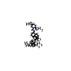 C=C1CC[C@H](O)C/C1=C/C=C1CCC[C@@]2(C)C1CC[C@@H]2[C@H](C)CCC(F)(F)C(C)(C)O